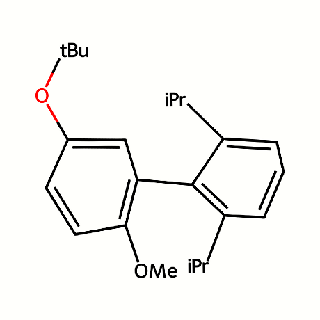 COc1ccc(OC(C)(C)C)cc1-c1c(C(C)C)cccc1C(C)C